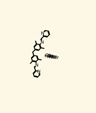 Br.Br.Br.Br.Cc1cc(Cc2cc(C)c(N=Cc3ccccn3)c(C)c2)cc(C)c1N=Cc1ccccn1.[Cu].[Cu]